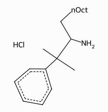 CCCCCCCCCC(N)C(C)(C)c1ccccc1.Cl